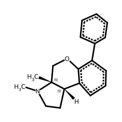 CN1CC[C@H]2c3cccc(-c4ccccc4)c3OC[C@]21C